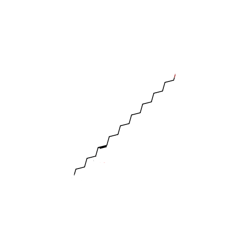 CCCC[C@@H](O)C=CCCCCCCCCCCCCBr